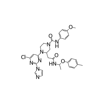 COc1ccc(NC(=O)N2CCN(c3cc(Cl)nc(-n4ccnc4)n3)C(CC(=O)NC(C)Oc3ccc(C)cc3)C2)cc1